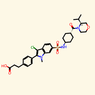 CC(C)[C@H]1COCCN1C(=O)[C@H]1CC[C@H](NS(=O)(=O)c2ccc3c(Cl)c(-c4ccc(CCC(=O)O)cc4)n(C)c3c2)CC1